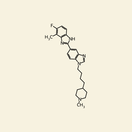 Cc1c(F)ccc2[nH]c(-c3ccc4c(c3)ncn4CCCCC3CCN(C)CC3)nc12